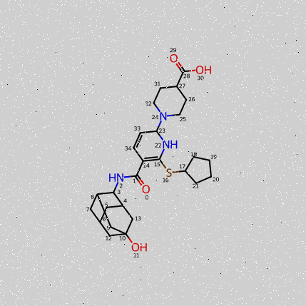 O=C(NC1C2CC3CC1CC(O)(C3)C2)C1=C(SC2CCCC2)NC(N2CCC(C(=O)O)CC2)C=C1